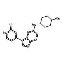 O=c1cc(-c2cnc3ccc(N[C@H]4CC[C@H](O)CC4)nn23)cc[nH]1